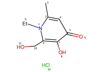 CCn1c(C)cc(=O)c(O)c1CO.Cl